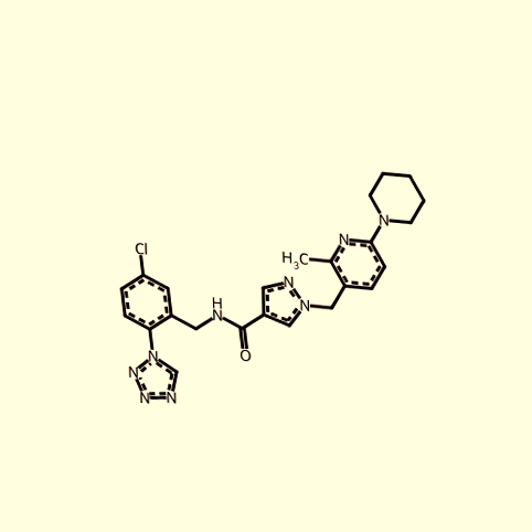 Cc1nc(N2CCCCC2)ccc1Cn1cc(C(=O)NCc2cc(Cl)ccc2-n2cnnn2)cn1